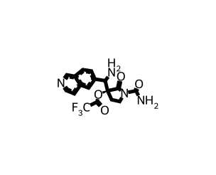 NC(=O)N1CC[C@](OC(=O)C(F)(F)F)(C(N)c2ccc3cnccc3c2)C1=O